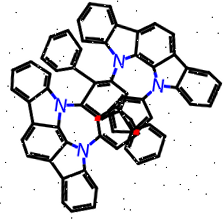 c1ccc(-c2cc(-n3c4ccccc4c4ccc5c6ccccc6n(-c6ccccc6)c5c43)c(-c3ccccc3)c(-n3c4ccccc4c4ccc5c6ccccc6n(-c6ccccc6)c5c43)c2)cc1